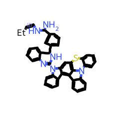 CC/C=C\NC(N)c1cccc(C2NC(n3c4ccccc4c4c5c6ccccc6n6c5c(cc43)Sc3ccccc3-6)=Nc3ccccc32)c1